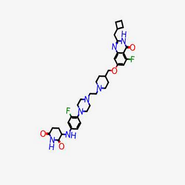 O=C1CCC(Nc2ccc(N3CCN(CCN4CCC(COc5cc(F)c6c(=O)[nH]c(CC7CCC7)nc6c5)CC4)CC3)c(F)c2)C(=O)N1